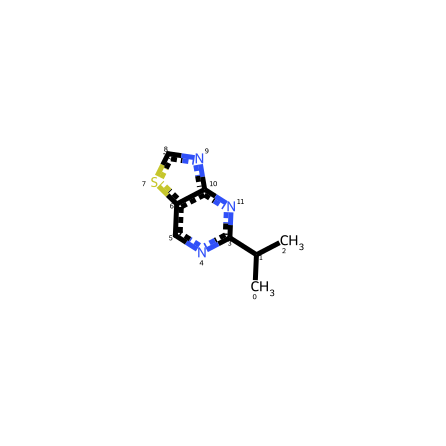 CC(C)c1ncc2s[c]nc2n1